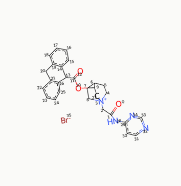 O=C(C[N+]12CCC(CC1)C(OC(=O)C1c3ccccc3Cc3ccccc31)C2)Nc1ccncn1.[Br-]